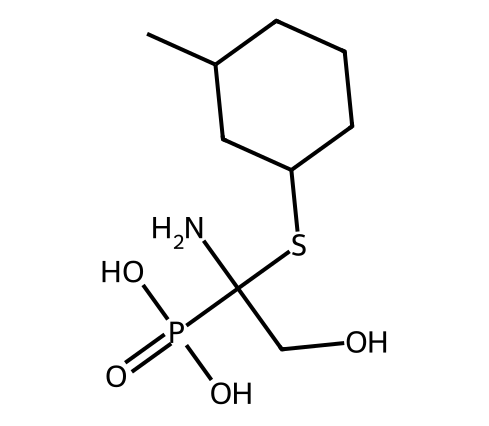 CC1CCCC(SC(N)(CO)P(=O)(O)O)C1